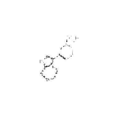 O=C(O)N1CCC=C(c2c[nH]c3ccccc23)C1